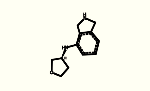 c1cc2c(c(N[C@H]3CCOC3)c1)CNC2